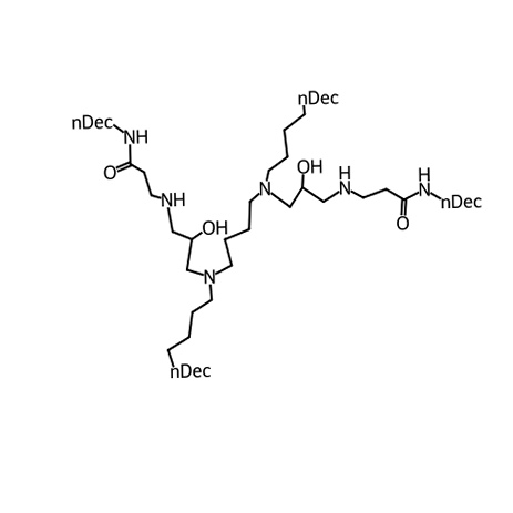 CCCCCCCCCCCCCCN(CCCCN(CCCCCCCCCCCCCC)CC(O)CNCCC(=O)NCCCCCCCCCC)CC(O)CNCCC(=O)NCCCCCCCCCC